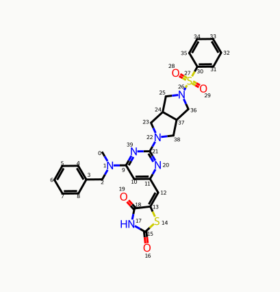 CN(Cc1ccccc1)c1cc(/C=C2/SC(=O)NC2=O)nc(N2CC3CN(S(=O)(=O)c4ccccc4)CC3C2)n1